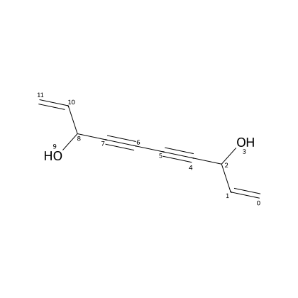 C=CC(O)C#CC#CC(O)C=C